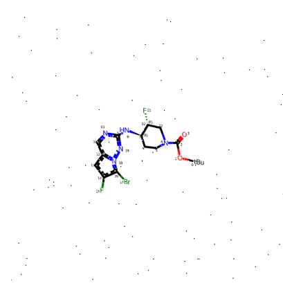 CC(C)(C)OC(=O)N1CC[C@@H](Nc2ncc3cc(F)c(Br)n3n2)[C@H](F)C1